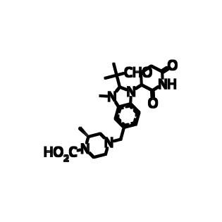 C[C@H]1CN(Cc2ccc3c(c2)N(C)C(C(C)(C)C=O)N3C2CCC(=O)NC2=O)CCN1C(=O)O